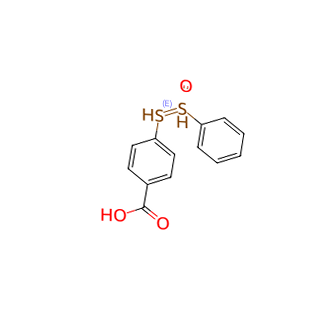 O=C(O)c1ccc(/[SH]=[SH](=O)\c2ccccc2)cc1